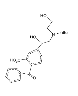 CCCCN(CCO)CC(O)c1ccc(C(=O)c2ccccc2)c(C(=O)O)c1